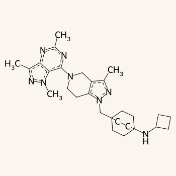 Cc1nc(N2CCc3c(c(C)nn3CC34CCC(NC5CCC5)(CC3)CC4)C2)c2c(n1)c(C)nn2C